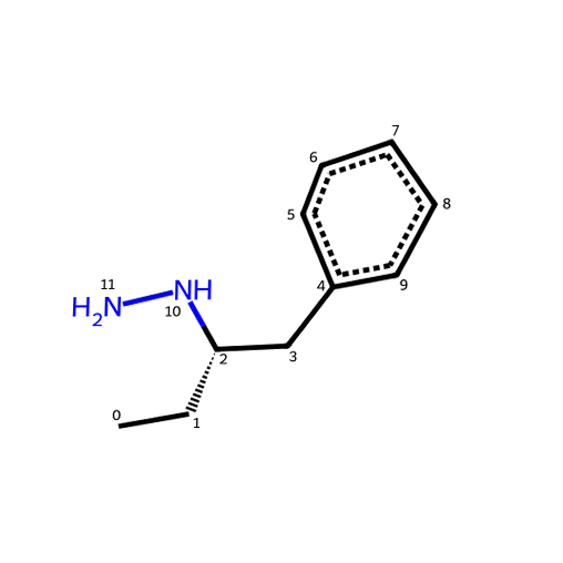 CC[C@@H](Cc1ccccc1)NN